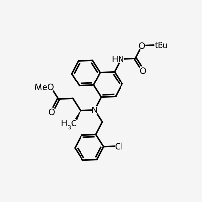 COC(=O)C[C@H](C)N(Cc1ccccc1Cl)c1ccc(NC(=O)OC(C)(C)C)c2ccccc12